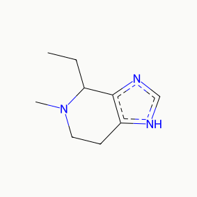 CCC1c2nc[nH]c2CCN1C